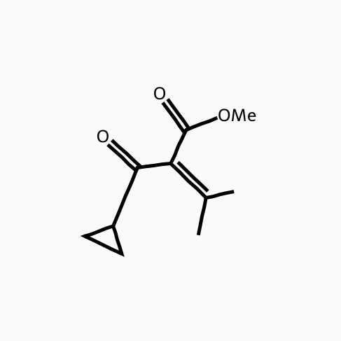 COC(=O)C(C(=O)C1CC1)=C(C)C